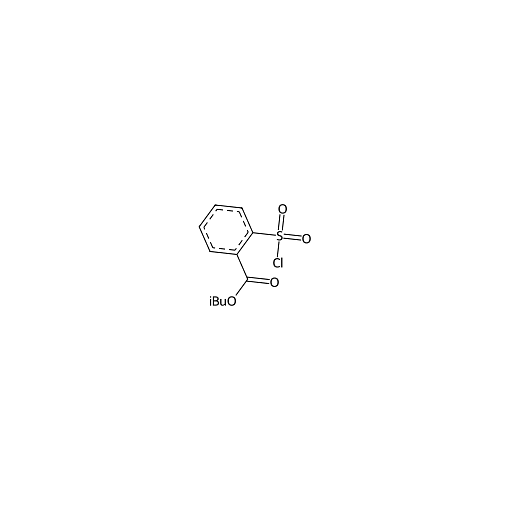 CC(C)COC(=O)c1ccccc1S(=O)(=O)Cl